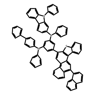 c1ccc(-c2ccc(N(c3ccccc3)c3cc(-c4cc5c6ccccc6c(-c6cccc7ccccc67)cc5c5c4sc4ccccc45)cc(N(c4ccccc4)c4ccc5c6ccccc6n(-c6ccccc6)c5c4)c3)cc2)cc1